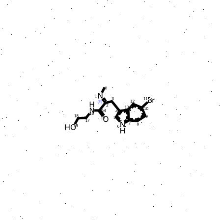 C/N=C(\Cc1c[nH]c2ccc(Br)cc12)C(=O)NCCO